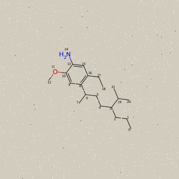 CCCC(CCC(C)c1cc(OC)c(N)cc1CC)C(C)C